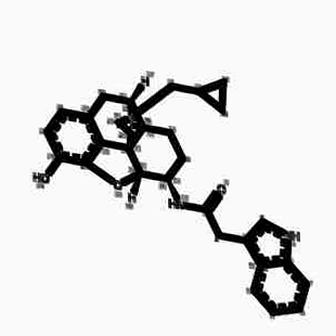 O=C(Cc1c[nH]c2ccccc12)N[C@@H]1CC[C@@]2(O)[C@H]3Cc4ccc(O)c5c4[C@@]2(CCN3CC2CC2)[C@H]1O5